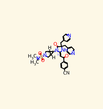 CN(C)S(=O)(=O)N1C[C@@H]2[C@H](C1)[C@H]2N1C(=O)C(Cc2ccncc2)(Cc2ccncc2)N/C1=C\C(=O)c1ccc(C#N)cc1